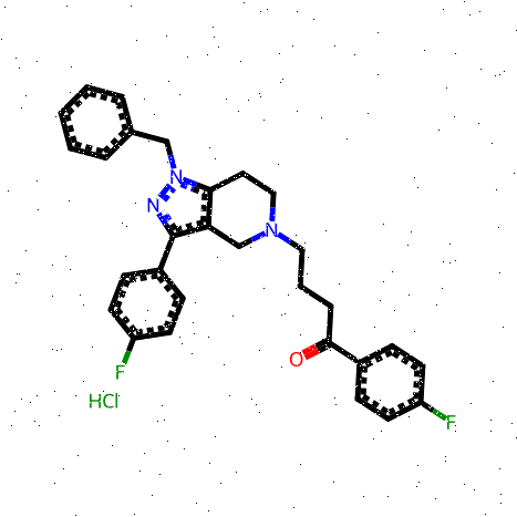 Cl.O=C(CCCN1CCc2c(c(-c3ccc(F)cc3)nn2Cc2ccccc2)C1)c1ccc(F)cc1